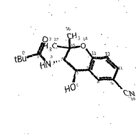 CC(C)(C)C(=O)N[C@H]1[C@H](O)c2cc(C#N)ccc2OC1(C)C